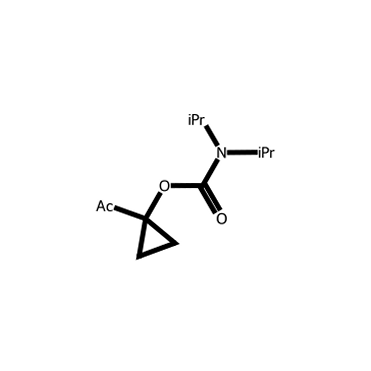 CC(=O)C1(OC(=O)N(C(C)C)C(C)C)CC1